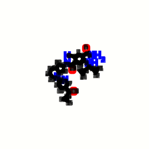 Cc1cc(C(N)=O)c(NC(C2CC2)C2CC2)cc1C(=O)NC1CC2CCCN(c3ccc(C(=O)C4CC4)cn3)C2C1